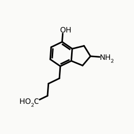 NC1Cc2c(O)ccc(CCCC(=O)O)c2C1